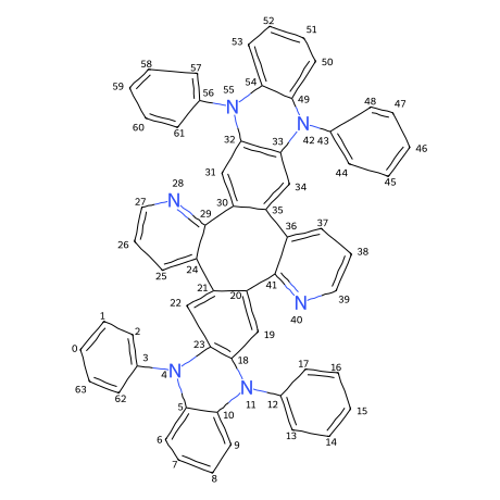 c1ccc(-n2c3ccccc3n(-c3ccccc3)c3cc4c(cc32)c2cccnc2c2cc3c(cc2c2cccnc24)n(-c2ccccc2)c2ccccc2n3-c2ccccc2)cc1